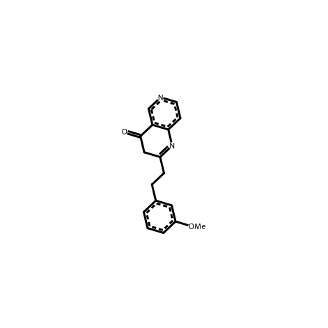 COc1cccc(CCC2=Nc3ccncc3C(=O)C2)c1